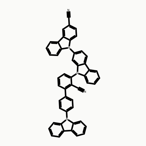 N#Cc1ccc2c(c1)c1ccccc1n2-c1ccc2c3ccccc3n(-c3cccc(-c4ccc(-n5c6ccccc6c6ccccc65)cc4)c3C#N)c2c1